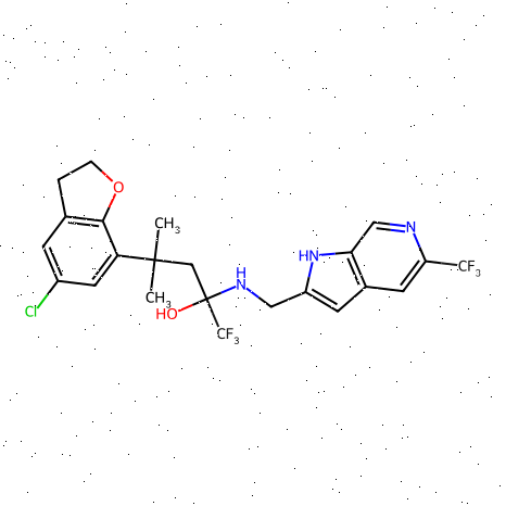 CC(C)(CC(O)(NCc1cc2cc(C(F)(F)F)ncc2[nH]1)C(F)(F)F)c1cc(Cl)cc2c1OCC2